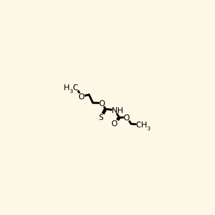 CCOC(=O)NC(=S)OCCOC